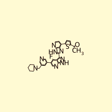 CC(=O)c1ccc(-c2ccnc3[nH]c(-c4n[nH]c5ncc(-c6cncc(CN7CCCCC7)c6)c(F)c45)nc23)s1